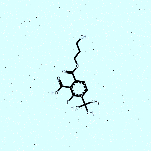 CCCCOC(=O)c1ccc(C(C)(C)C)c(F)c1C(=O)O